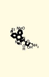 CCOc1ccc(-c2ncnc3c2c(-c2ccc(OC)cc2)nn3[C@@H]2O[C@H](CN)[C@@H](O)[C@H]2O)cc1